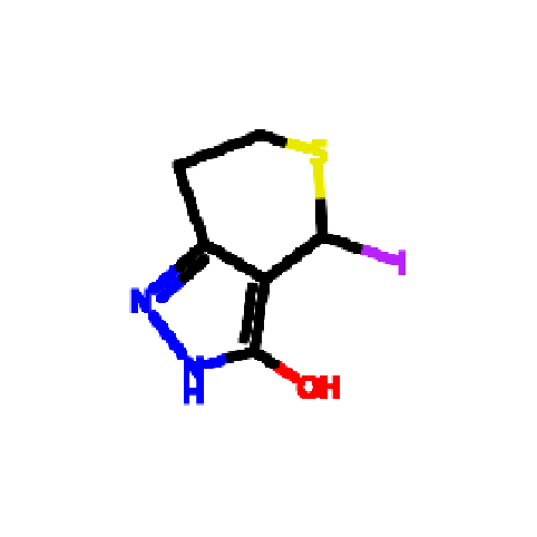 Oc1[nH]nc2c1C(I)SCC2